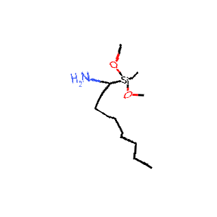 CCCCCCC(N)[Si](C)(OC)OC